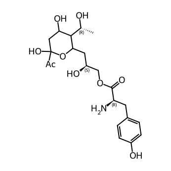 CC(=O)C1(O)CC(O)C([C@@H](C)O)C(C[C@H](O)COC(=O)[C@H](N)Cc2ccc(O)cc2)O1